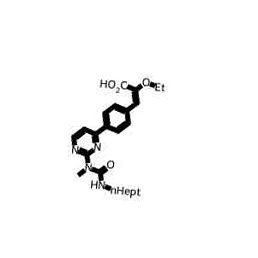 CCCCCCCNC(=O)N(C)c1nccc(-c2ccc(/C=C(/OCC)C(=O)O)cc2)n1